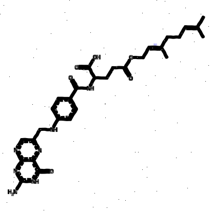 CC(C)=CCC/C(C)=C/COC(=O)CCC(NC(=O)c1ccc(NCc2cnc3nc(N)[nH]c(=O)c3n2)cc1)C(=O)O